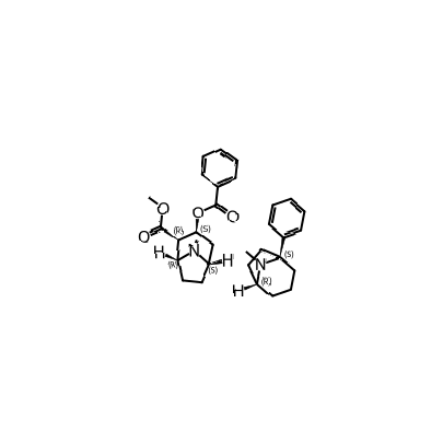 CN1[C@@H]2CCC[C@@]1(c1ccccc1)CC2.COC(=O)[C@H]1[C@@H](OC(=O)c2ccccc2)C[C@@H]2CC[C@H]1N2C